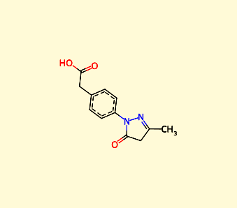 CC1=NN(c2ccc(CC(=O)O)cc2)C(=O)C1